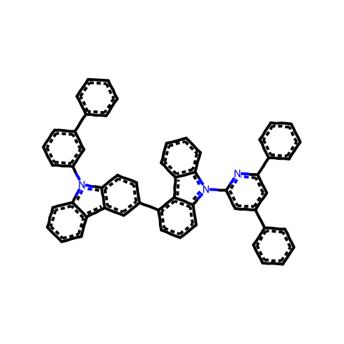 c1ccc(-c2cccc(-n3c4ccccc4c4cc(-c5cccc6c5c5ccccc5n6-c5cc(-c6ccccc6)cc(-c6ccccc6)n5)ccc43)c2)cc1